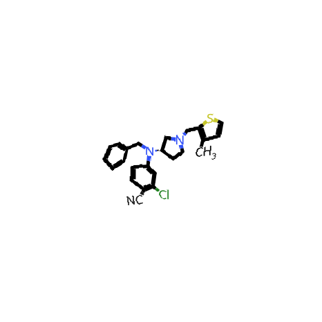 Cc1ccsc1CN1CC[C@H](N(Cc2ccccc2)c2ccc(C#N)c(Cl)c2)C1